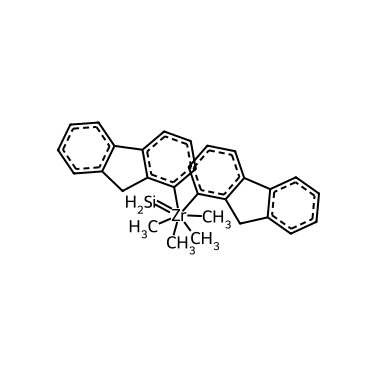 [CH3][Zr]([CH3])([CH3])([CH3])(=[SiH2])([c]1cccc2c1Cc1ccccc1-2)[c]1cccc2c1Cc1ccccc1-2